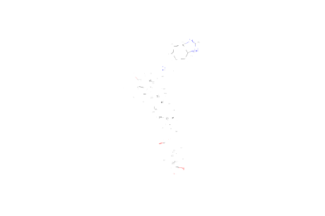 CC(C)C1=C2[C@H]3CC[C@@H]4[C@@]5(C)CC[C@H](OC(=O)[C@H]6C[C@@H](C(=O)O)C6(C)C)C(C)(C)[C@@H]5CC[C@@]4(C)[C@]3(C)CC[C@@]2(CCNCc2ccc3nc[nH]c3c2)CC1=O